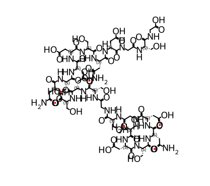 NC(=O)C[C@H](NC(=O)[C@H](CO)NC(=O)[C@H](CC(=O)O)NC(=O)[C@H](CO)NC(=O)[C@H](CC(=O)O)NC(=O)[C@H](CC(N)=O)NC(=O)[C@H](CO)NC(=O)[C@H](CC(=O)O)NC(=O)[C@H](CO)NC(=O)CNC(=O)[C@H](CO)NC(=O)CNC(=O)[C@H](CC(=O)O)NC(=O)[C@H](CC(N)=O)NC(=O)[C@H](CO)NC(=O)[C@H](CC(=O)O)NC(=O)[C@@H](N)CO)C(=O)N[C@@H](CC(=O)O)C(=O)NCC(=O)N[C@@H](CO)C(=O)NCC(=O)O